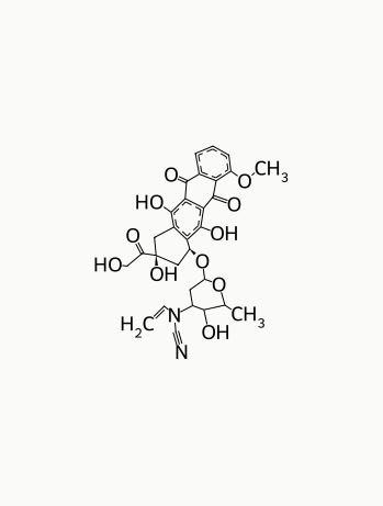 C=CN(C#N)C1CC(O[C@H]2C[C@](O)(C(=O)CO)Cc3c(O)c4c(c(O)c32)C(=O)c2c(OC)cccc2C4=O)OC(C)C1O